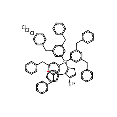 [Cl-].[Cl-].[Cl-].[Ti+3][C]1=CCC([Si](c2cc(Cc3ccccc3)cc(Cc3ccccc3)c2)(c2cc(Cc3ccccc3)cc(Cc3ccccc3)c2)c2cc(Cc3ccccc3)cc(Cc3ccccc3)c2)=C1c1ccccc1